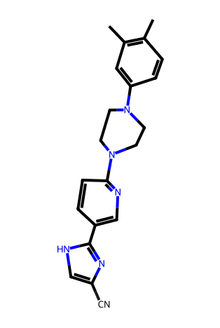 Cc1ccc(N2CCN(c3ccc(-c4nc(C#N)c[nH]4)cn3)CC2)cc1C